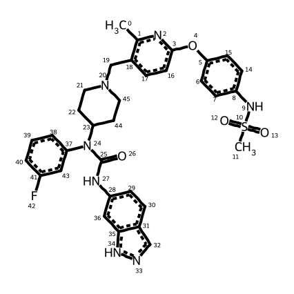 Cc1nc(Oc2ccc(NS(C)(=O)=O)cc2)ccc1CN1CCC(N(C(=O)Nc2ccc3cn[nH]c3c2)c2cccc(F)c2)CC1